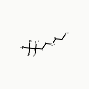 FC(F)(F)C(F)(F)CCOCCI